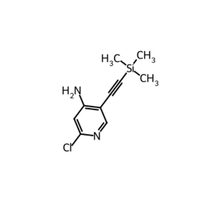 C[Si](C)(C)C#Cc1cnc(Cl)cc1N